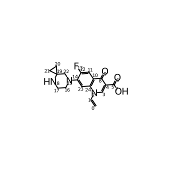 C=Cn1cc(C(=O)O)c(=O)c2cc(F)c(N3CCNC4(CC4)C3)cc21